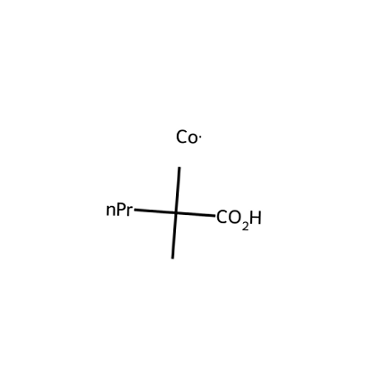 CCCC(C)(C)C(=O)O.[Co]